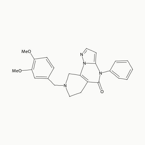 COc1ccc(CN2CCc3c(n4nccc4n(-c4ccccc4)c3=O)C2)cc1OC